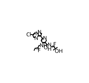 CC[C@H](F)CNc1cc(-c2cnn3cc(Cl)cnc23)ncc1C(=O)NC[C@@H](F)C(C)(C)O